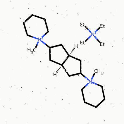 CC[N+](CC)(CC)CC.C[N+]1(C2C[C@H]3CC([N+]4(C)CCCCC4)C[C@H]3C2)CCCCC1